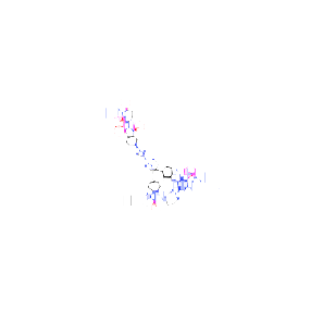 Cn1c(=O)n(C2CCCN(c3cnc(C(N)=O)c(Nc4ccc(C5(C)CCN(C6CN(c7ccc8c(c7)C(=O)N(C7CCC(=O)NC7=O)C8=O)C6)CC5)cc4)n3)C2)c2ccccc21